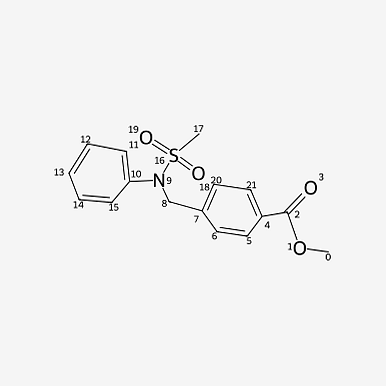 COC(=O)c1ccc(CN(c2ccccc2)S(C)(=O)=O)cc1